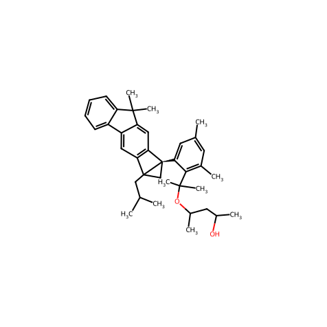 Cc1cc(C)c(C(C)(C)OC(C)CC(C)O)c([C@@]23CC2(CC(C)C)c2cc4c(cc23)C(C)(C)c2ccccc2-4)c1